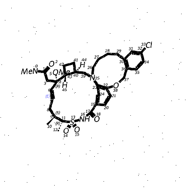 CNC(=O)C[C@]1(OC)/C=C/C[C@H](C)[C@@H](C)S(=O)(=O)NC(=O)c2ccc3c(c2)N(CCCCc2cc(Cl)ccc2CO3)C[C@@H]2CC[C@H]21